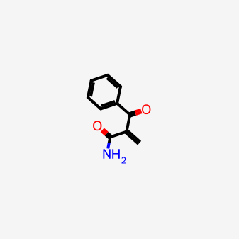 C=C(C(N)=O)C(=O)c1ccccc1